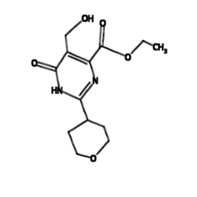 CCOC(=O)c1nc(C2CCOCC2)[nH]c(=O)c1CO